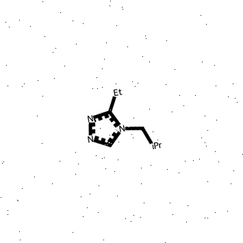 CCc1nncn1CC(C)C